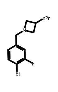 CCCC1CN(Cc2ccc(CC)c(F)c2)C1